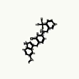 COc1cnc2[nH]cc(Cc3ccc(NCc4cnccc4C(F)(F)F)nc3Cl)c2c1